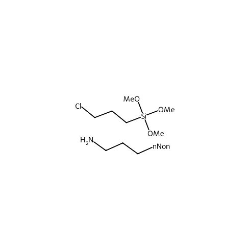 CCCCCCCCCCCCN.CO[Si](CCCCl)(OC)OC